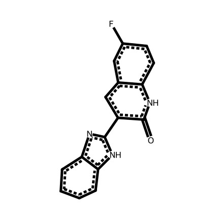 O=c1[nH]c2ccc(F)cc2cc1-c1nc2ccccc2[nH]1